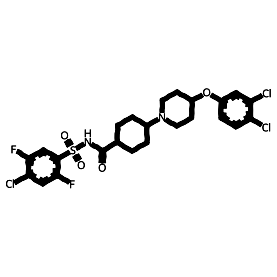 O=C(NS(=O)(=O)c1cc(F)c(Cl)cc1F)C1CCC(N2CCC(Oc3ccc(Cl)c(Cl)c3)CC2)CC1